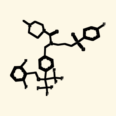 CN1CCN(C(=O)N(CCCS(=O)(=O)c2ccc(F)cc2)Cc2ccc(C(OCc3c(F)cccc3F)(C(F)(F)F)C(F)(F)F)cc2)CC1